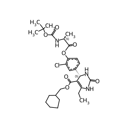 CCC1=C(C(=O)OCC2CCCCC2)[C@H](c2ccc(OC(=O)[C@H](C)NC(=O)OC(C)(C)C)c(Cl)c2)NC(=O)N1